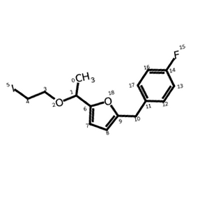 CC(OCCI)c1ccc(Cc2ccc(F)cc2)o1